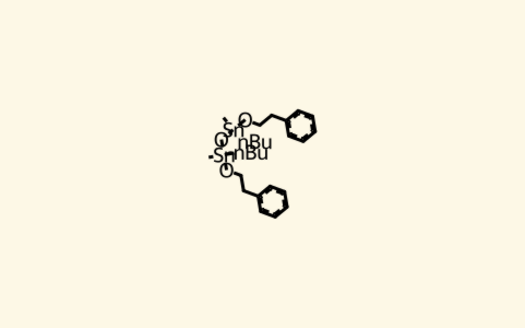 CCC[CH2][Sn]([CH3])([O]CCc1ccccc1)[O][Sn]([CH3])([CH2]CCC)[O]CCc1ccccc1